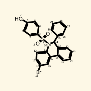 O=S(=O)(c1ccc(O)cc1)N1c2ccc(Br)cc2-c2ccccc2C1c1ccccc1